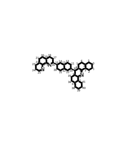 c1ccc2c(c1)ccc1c(-c3ccc4cc(-c5ccc6ccc7cccnc7c6n5)ccc4c3)c3ccc4ccccc4c3nc12